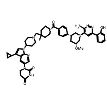 CO[C@@H]1C[C@H](c2ccc(C(=O)N3CCC(F)(CN4CCC(n5cc(C6CC6)c6cc(N7CCC(=O)NC7=O)cnc65)CC4)CC3)cc2)CN(c2cc(-c3ccccc3O)nnc2N)C1